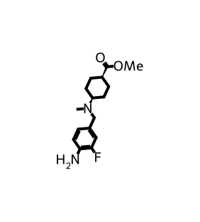 COC(=O)[C@H]1CC[C@@H](N(C)Cc2ccc(N)c(F)c2)CC1